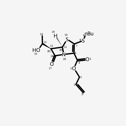 C=CCOC(=O)C1=C(SCCCC)S[C@@H]2[C@H](C(C)O)C(=O)N12